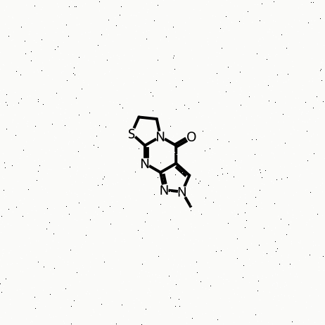 Cn1cc2c(=O)n3c(nc2n1)SCC3